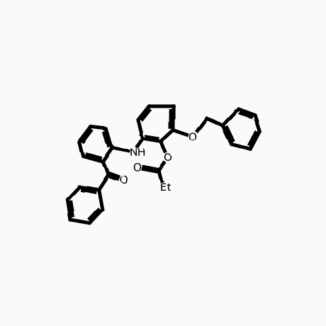 CCC(=O)Oc1c(Nc2ccccc2C(=O)c2ccccc2)cccc1OCc1ccccc1